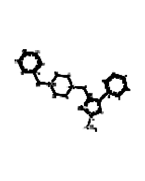 Cn1cc(-c2ccccc2)c(CN2CCN(Cc3ccccc3)CC2)n1